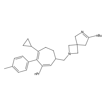 CCCCC1=NCC2(C1)CN(CC1C=C(CCC)C(c3ccc(C)cc3)=C(C3CC3)CC1)C2